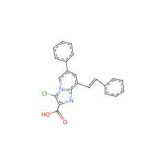 O=C(O)c1nc2c(/C=C/c3ccccc3)cc(-c3ccccc3)cn2c1Cl